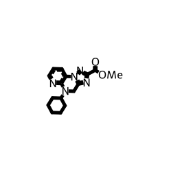 COC(=O)c1nc2n(n1)-c1cccnc1N(C1CCCCC1)C2